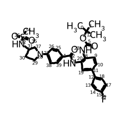 CC(C)(C)OC(=O)Nc1ccc(-c2ccc(F)cc2)cc1NC(=O)c1ccc(N2CCC(NS(C)(=O)=O)C2)cc1